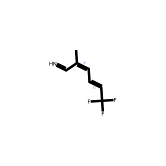 C/C(C=N)=C/C=C/C(F)(F)F